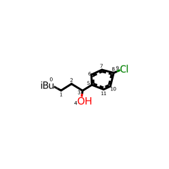 CCC(C)CCC(O)c1ccc(Cl)cc1